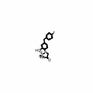 O=C1CN(c2ccc(Cc3ccc(F)cc3)cc2O)S(=O)(=O)N1